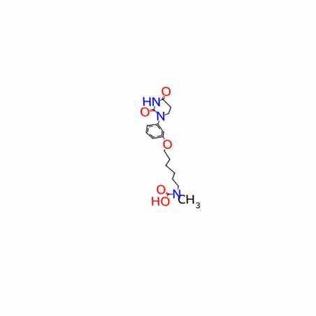 CN(CCCCCCOc1cccc(N2CCC(=O)NC2=O)c1)C(=O)O